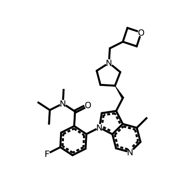 Cc1cncc2c1c(C[C@H]1CCN(CC3COC3)C1)cn2-c1ccc(F)cc1C(=O)N(C)C(C)C